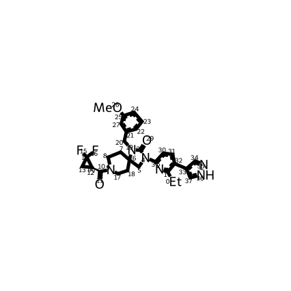 CCc1nc(N2CC3(CCN(C(=O)[C@H]4CC4(F)F)CC3)N(Cc3cccc(OC)c3)C2=O)ccc1-c1cn[nH]c1